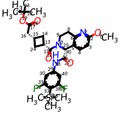 COc1ccc2c(n1)CCN(C(=O)[C@H]1C[C@@H](CC(=O)OC(C)(C)C)C1)[C@H]2C(=O)Nc1cc(F)c([Si](C)(C)C)c(F)c1